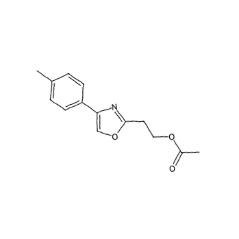 CC(=O)OCCc1nc(-c2ccc(C)cc2)co1